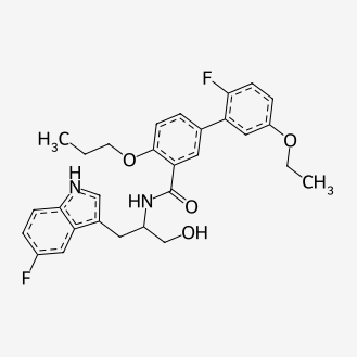 CCCOc1ccc(-c2cc(OCC)ccc2F)cc1C(=O)NC(CO)Cc1c[nH]c2ccc(F)cc12